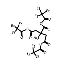 CCC(CC)(CC)C(=O)OC(=O)CC(O)(CC(=O)OC(=O)C(CC)(CC)CC)C(=O)OC(=O)C(CC)(CC)CC